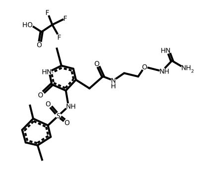 Cc1ccc(C)c(S(=O)(=O)Nc2c(CC(=O)NCCONC(=N)N)cc(C)[nH]c2=O)c1.O=C(O)C(F)(F)F